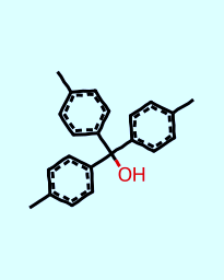 Cc1ccc(C(O)(c2ccc(C)cc2)c2ccc(C)cc2)cc1